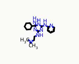 CN(C)CCNC1=NC(N)(C2CCCCC2)NC(Nc2ccccn2)=N1